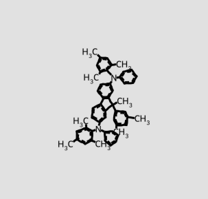 Cc1cc(C)cc(C2(C)c3cc(N(c4ccccc4)c4c(C)cc(C)cc4C)ccc3-c3ccc(N(c4ccccc4)c4c(C)cc(C)cc4C)cc32)c1